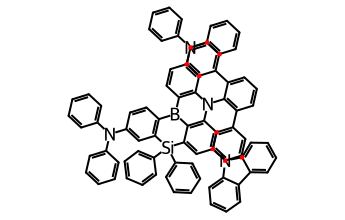 c1ccc(-c2cccc(-c3ccccc3)c2N2c3cc(N(c4ccccc4)c4ccccc4)ccc3B3c4ccc(N(c5ccccc5)c5ccccc5)cc4[Si](c4ccccc4)(c4ccccc4)c4cc(-n5c6ccccc6c6ccccc65)cc2c43)cc1